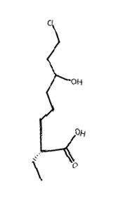 CC[C@H](CCCC(O)CCCl)C(=O)O